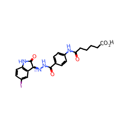 O=C(O)CCCCC(=O)Nc1ccc(C(=O)N/N=C2\C(=O)Nc3ccc(I)cc32)cc1